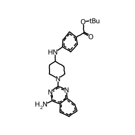 CC(C)(C)OC(=O)c1ccc(NC2CCN(c3nc(N)c4ccccc4n3)CC2)cc1